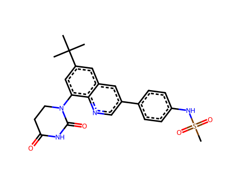 CC(C)(C)c1cc(N2CCC(=O)NC2=O)c2ncc(-c3ccc(NS(C)(=O)=O)cc3)cc2c1